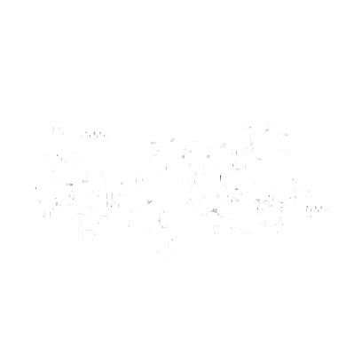 CNC(C)C(=O)N[C@H]1CCS[C@H]2CC(C)(C)[C@@H](C(=O)NC(COCc3ccc(COCC(NC(=O)[C@H]4N5C(=O)[C@@H](NC(=O)C(C)NC)CCS[C@H]5CC4(C)C)c4ccccc4)cc3)c3ccccc3)N2C1=O.Cl.Cl